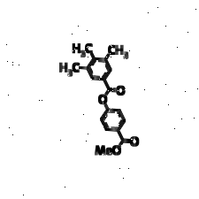 COC(=O)c1ccc(OC(=O)c2cc(C)c(C)c(C)c2)cc1